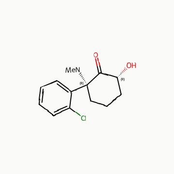 CN[C@@]1(c2ccccc2Cl)CCC[C@@H](O)C1=O